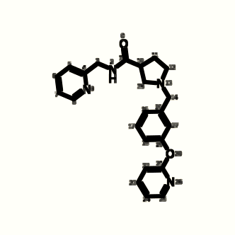 O=C(NCc1ccccn1)C1CCN(Cc2cccc(Oc3ccccn3)c2)C1